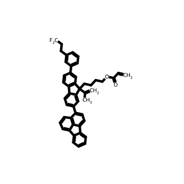 C=CC(=O)OCCCCC1(C(=C)C)c2cc(-c3cccc(CCC(F)(F)F)c3)ccc2-c2ccc(-c3ccc4c5c(cccc35)-c3ccccc3-4)cc21